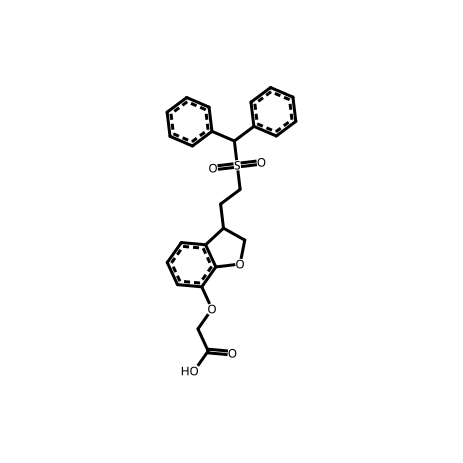 O=C(O)COc1cccc2c1OCC2CCS(=O)(=O)C(c1ccccc1)c1ccccc1